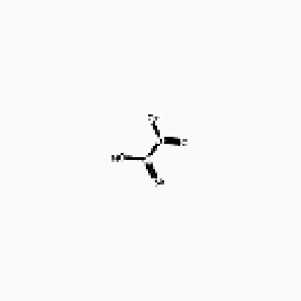 O=S(O)S(O)=[Se]